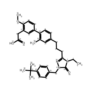 CCn1c(CCCc2ccc(-c3ccc(OC)c(CC(=O)O)c3)c(C)c2)nn(Cc2ccc(C(C)(C)C)cc2)c1=O